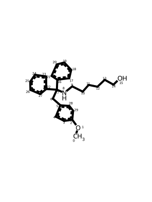 COc1ccc(CC(NCCCCCCO)(c2ccccc2)c2ccccc2)cc1